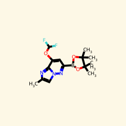 Cc1cn2nc(B3OC(C)(C)C(C)(C)O3)cc(OC(F)F)c2n1